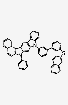 c1ccc(-n2c3cc4c(cc3c3c5ccccc5ccc32)c2ccccc2n4-c2cccc(-c3cccc4sc5cc6ccccc6cc5c34)c2)cc1